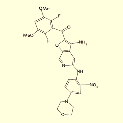 COc1cc(OC)c(F)c(C(=O)c2oc3cnc(Nc4ccc(N5CCOCC5)cc4[N+](=O)[O-])cc3c2N)c1F